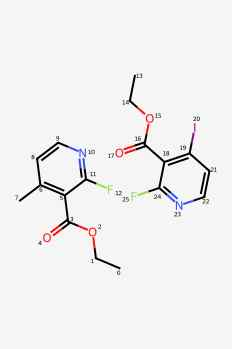 CCOC(=O)c1c(C)ccnc1F.CCOC(=O)c1c(I)ccnc1F